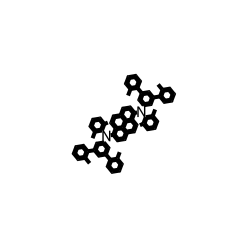 Cc1ccccc1-c1cc(-c2ccccc2C)cc(N(c2c(C)cccc2C)c2ccc3ccc4c(N(c5cc(-c6ccccc6C)cc(-c6ccccc6C)c5)c5c(C)cccc5C)ccc5ccc2c3c54)c1